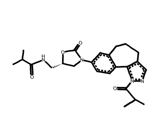 CC(C)C(=O)NC[C@H]1CN(c2ccc3c(c2)CCCc2cnn(C(=O)C(C)C)c2-3)C(=O)O1